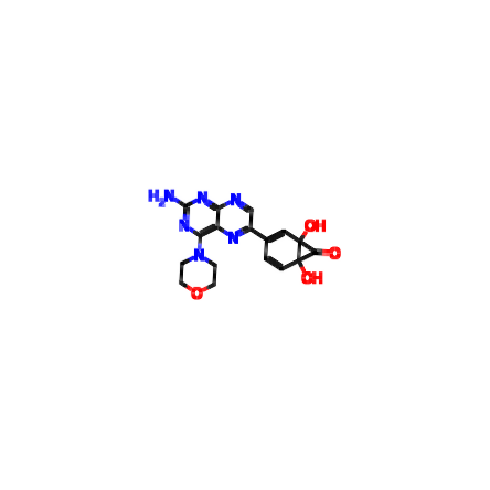 Nc1nc(N2CCOCC2)c2nc(C3=CC4(O)C(=O)C4(O)C=C3)cnc2n1